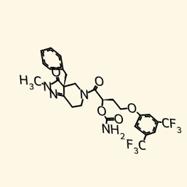 CN1N=C2CCN(C(=O)[C@@H](CCOc3cc(C(F)(F)F)cc(C(F)(F)F)c3)OC(N)=O)C[C@@]2(Cc2ccccc2)C1=O